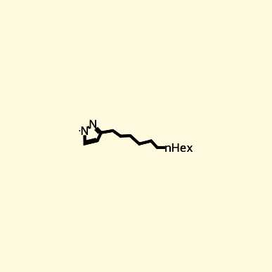 CCCCCCCCCCCCC1=N[N]C=C1